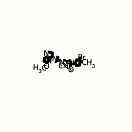 COc1ccc2nccc(N3CC(N(C)CC4CN(c5ccc(C)c(Br)c5)C(=O)O4)C3)c2n1